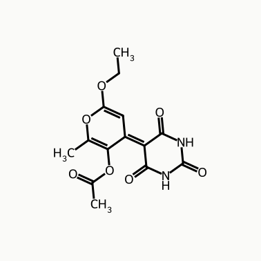 CCOC1=CC(=C2C(=O)NC(=O)NC2=O)C(OC(C)=O)=C(C)O1